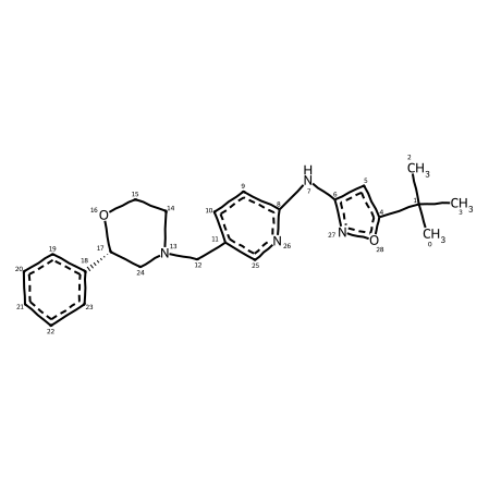 CC(C)(C)c1cc(Nc2ccc(CN3CCO[C@@H](c4ccccc4)C3)cn2)no1